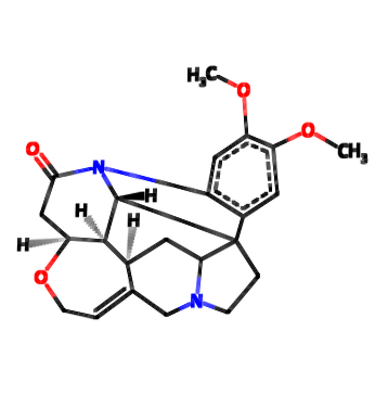 COc1cc2c(cc1OC)C13CCN4CC5=CCO[C@H]6CC(=O)N2[C@H]1[C@H]6[C@H]5CC43